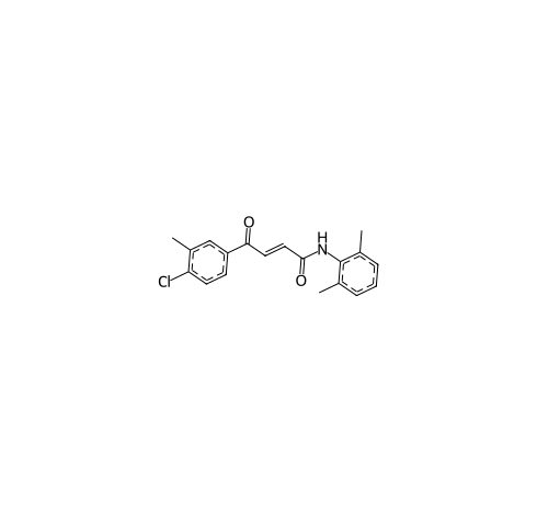 Cc1cc(C(=O)C=CC(=O)Nc2c(C)cccc2C)ccc1Cl